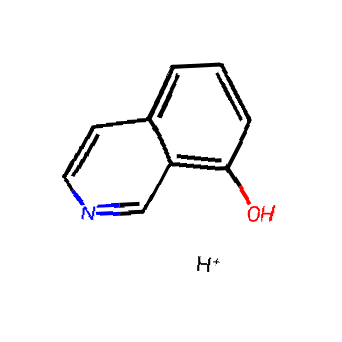 Oc1cccc2ccncc12.[H+]